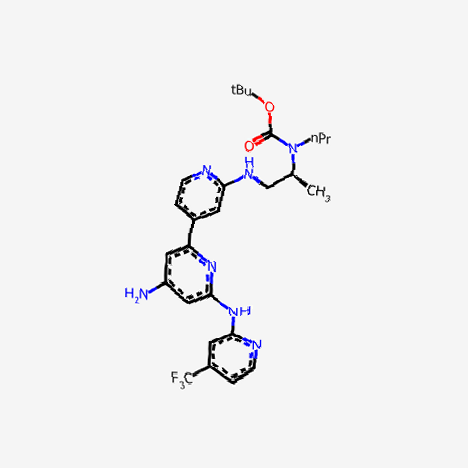 CCCN(C(=O)OC(C)(C)C)[C@@H](C)CNc1cc(-c2cc(N)cc(Nc3cc(C(F)(F)F)ccn3)n2)ccn1